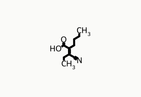 CCCCC(C(=O)O)=C(C#N)CC